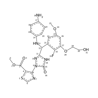 COC(=O)c1scnc1-n1nc(C(Nc2ccc(N)cc2)c2cc(OC)cc(OCCO)c2F)[nH]c1=O